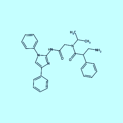 CC(C)N(CC(=O)Nc1nc(-c2ccccc2)cn1-c1ccccc1)C(=O)C(CN)c1ccccc1